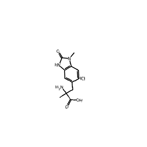 Cl.Cn1c(=O)[nH]c2cc(CC(C)(N)C(=O)O)ccc21